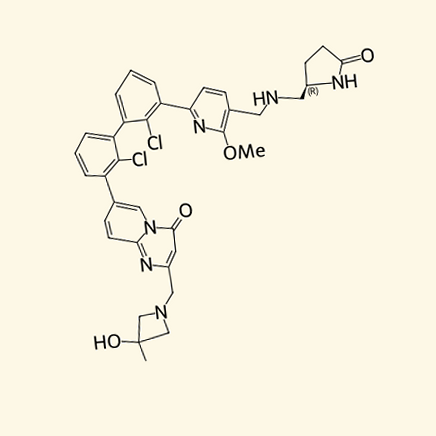 COc1nc(-c2cccc(-c3cccc(-c4ccc5nc(CN6CC(C)(O)C6)cc(=O)n5c4)c3Cl)c2Cl)ccc1CNC[C@H]1CCC(=O)N1